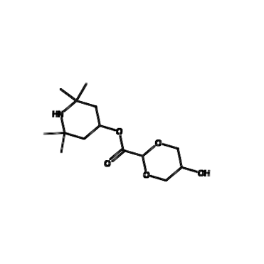 CC1(C)CC(OC(=O)C2OCC(O)CO2)CC(C)(C)N1